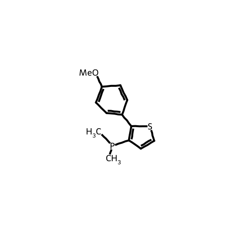 COc1ccc(-c2sccc2P(C)C)cc1